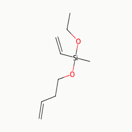 C=CCCO[Si](C)(C=C)OCC